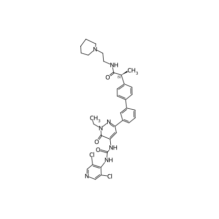 CCn1nc(-c2cccc(-c3ccc([C@H](C)C(=O)NCCN4CCCCC4)cc3)c2)cc(NC(=O)Nc2c(Cl)cncc2Cl)c1=O